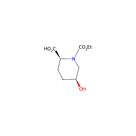 CCOC(=O)N1C[C@@H](O)CC[C@H]1C(=O)O